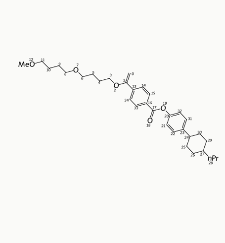 C=C(OCCCCOCCCCOC)c1ccc(C(=O)Oc2ccc(C3CCC(CCC)CC3)cc2)cc1